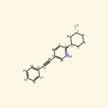 C[C@@H]1CCC[C@@H](c2ccc(C#Cc3ccccc3)cn2)C1